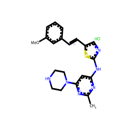 COc1cccc(/C=C/c2cnc(Nc3cc(N4CCNCC4)nc(C)n3)s2)c1.Cl